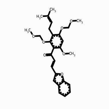 COCOc1cc(OC)c(C(=O)/C=C/c2cc3ccccc3o2)c(OCOC)c1CC=C(C)C